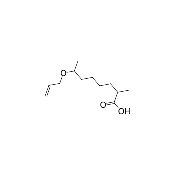 C=CCOC(C)CCCCC(C)C(=O)O